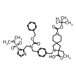 CCC1(C(=O)O)CC2(CCN(C(=O)OC(C)(C)C)CC2)CN1Cc1ccc(CN(Cc2nccn2S(=O)(=O)N(C)C)C(=O)OCc2ccccc2)cc1